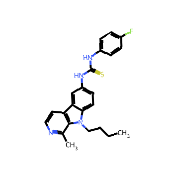 CCCCn1c2ccc(NC(=S)Nc3ccc(F)cc3)cc2c2ccnc(C)c21